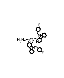 NCCCCN(Cc1nccc2c3ccccc3n(Cc3ccc(F)cc3)c12)Cc1nccc2c3ccccc3n(Cc3ccc(F)cc3)c12